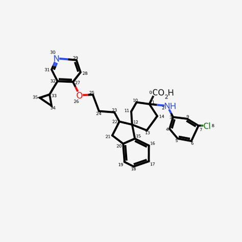 O=C(O)C1(Nc2cccc(Cl)c2)CCC2(CC1)c1ccccc1CC2CCCOc1ccncc1C1CC1